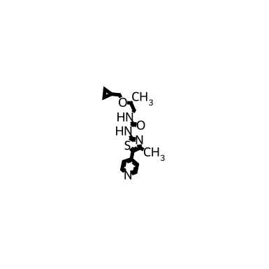 Cc1nc(NC(=O)NC[C@H](C)OCC2CC2)sc1-c1ccncc1